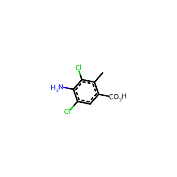 Cc1c(C(=O)O)cc(Cl)c(N)c1Cl